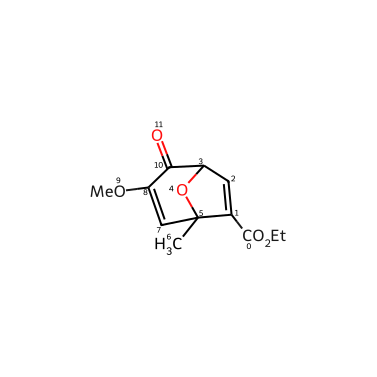 CCOC(=O)C1=CC2OC1(C)C=C(OC)C2=O